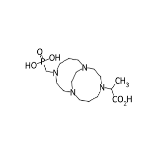 CC(C(=O)O)N1CCCN2CCN(CCCN(CP(=O)(O)O)CC2)CC1